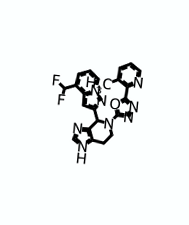 Cc1cccnc1-c1nnc(N2CCc3[nH]cnc3C2c2cc3c(C(F)F)cccn3n2)o1